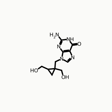 Nc1nc2c(ncn2CC2(CO)CC2CO)c(=O)[nH]1